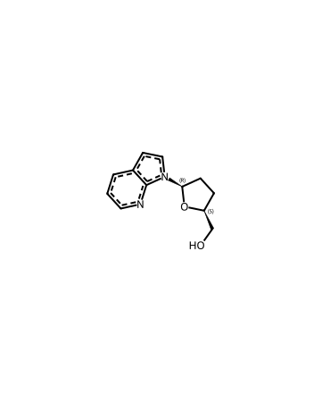 OC[C@@H]1CC[C@H](n2ccc3cccnc32)O1